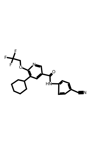 N#Cc1ccc(NC(=O)c2cnc(OCC(F)(F)F)c(C3CCCCC3)c2)cc1